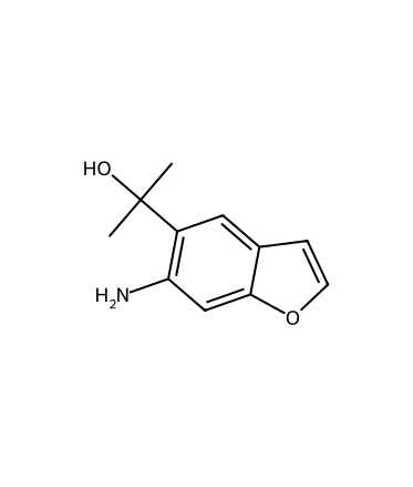 CC(C)(O)c1cc2ccoc2cc1N